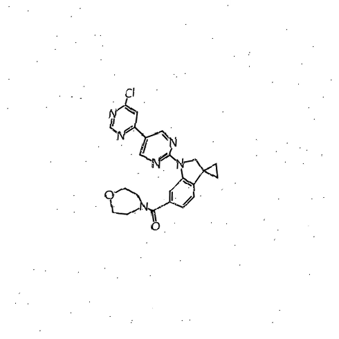 O=C(c1ccc2c(c1)N(c1ncc(-c3cc(Cl)ncn3)cn1)CC21CC1)N1CCOCC1